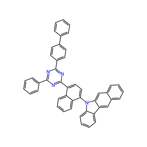 c1ccc(-c2ccc(-c3nc(-c4ccccc4)nc(-c4ccc(-n5c6ccccc6c6cc7ccccc7cc65)c5ccccc45)n3)cc2)cc1